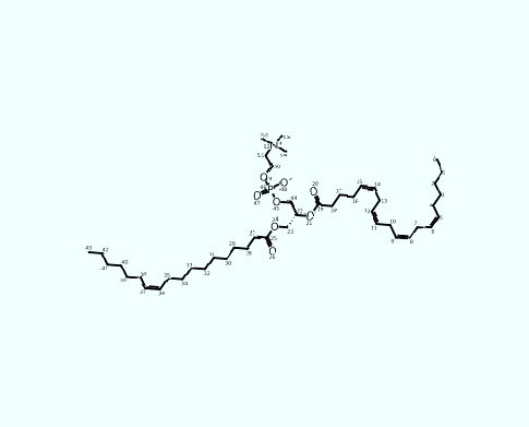 CCCCC/C=C\C/C=C\C/C=C\C/C=C\CCCC(=O)O[C@H](COC(=O)CCCCCCCCC/C=C\CCCCCC)COP(=O)([O-])OCC[N+](C)(C)C